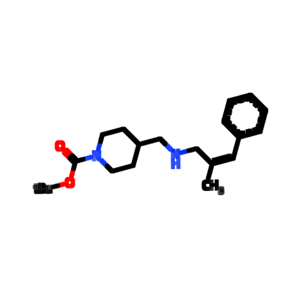 CC(=Cc1ccccc1)CNCC1CCN(C(=O)OC(C)(C)C)CC1